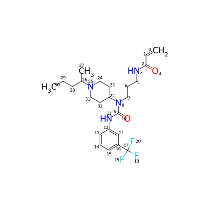 C=CC(=O)NCCCN(C(=O)Nc1cccc(C(F)(F)F)c1)C1CCN(C(C)CCC)CC1